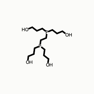 OCCCP(CCCO)CCP(CCCO)CCCO